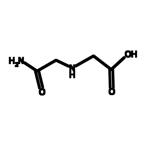 NC(=O)CNCC(=O)O